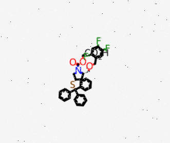 O=C(O)COC(=O)N1C[C@H](SC(c2ccccc2)(c2ccccc2)c2ccccc2)C[C@H]1COCc1cc(F)c(F)cc1F